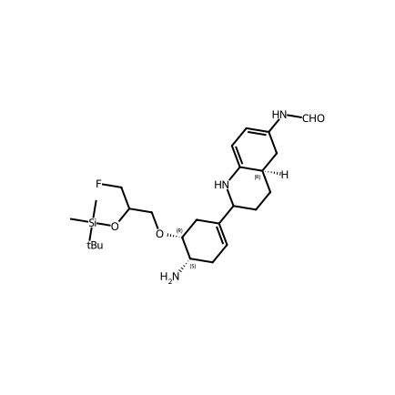 CC(C)(C)[Si](C)(C)OC(CF)CO[C@@H]1CC(C2CC[C@@H]3CC(NC=O)=CC=C3N2)=CC[C@@H]1N